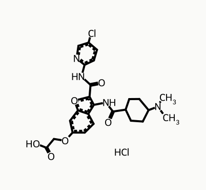 CN(C)C1CCC(C(=O)Nc2c(C(=O)Nc3ccc(Cl)cn3)oc3cc(OCC(=O)O)ccc23)CC1.Cl